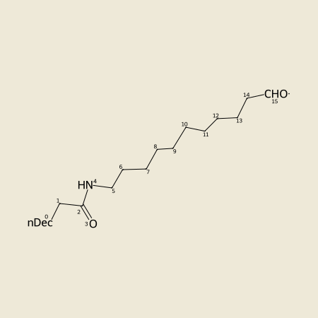 CCCCCCCCCCCC(=O)NCCCCCCCCCC[C]=O